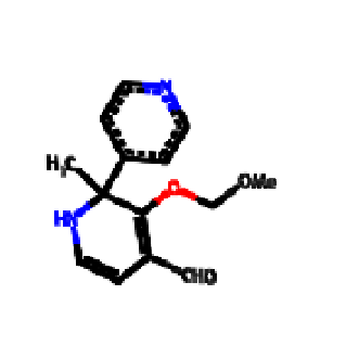 COCOC1=C(C=O)C=CNC1(C)c1ccncc1